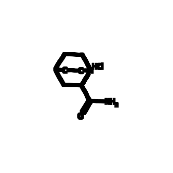 Cl.NC(=O)C1CC2CCN1CC2